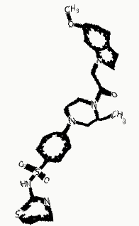 COc1ccc2ccn(CC(=O)N3CCN(c4ccc(S(=O)(=O)Nc5nccs5)cc4)CC3C)c2c1